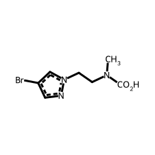 CN(CCn1cc(Br)cn1)C(=O)O